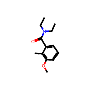 CCN(CC)C(=O)c1cccc(OC)c1C